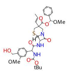 CC=CC1(C(=O)OC(OC)c2ccccc2)CS[C@@H]2C(NC(=O)C(NC(=O)OC(C)(C)C)c3ccc(CO)c(OC)c3)C(=O)N2C1